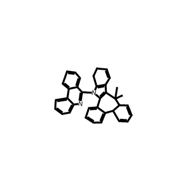 CC1(C)c2c3c(n(-c4nc5ccccc5c5ccccc45)c2-c2ccccc2C2C=CC=CC21)CCC=C3